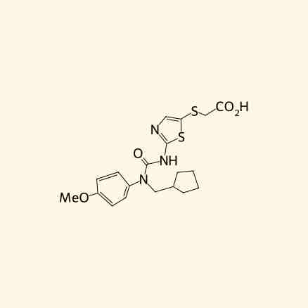 COc1ccc(N(CC2CCCC2)C(=O)Nc2ncc(SCC(=O)O)s2)cc1